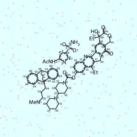 CC(=O)Nc1nnc(S(N)(=O)=O)s1.CCc1c2c(nc3ccc(OC(=O)N4CCC(N5CCCCC5)CC4)cc13)-c1cc3c(c(=O)n1C2)COC(=O)[C@]3(O)CC.CNCCCC12CCC(c3ccccc31)c1ccccc12